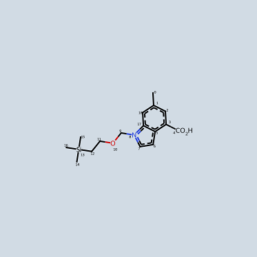 Cc1cc(C(=O)O)c2ccn(COCC[Si](C)(C)C)c2c1